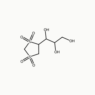 O=S1(=O)CC(C(O)C(O)CO)S(=O)(=O)C1